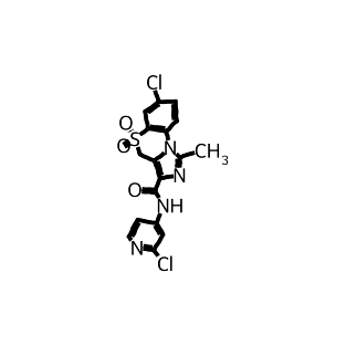 Cc1nc(C(=O)Nc2ccnc(Cl)c2)c2n1-c1ccc(Cl)cc1S(=O)(=O)C2